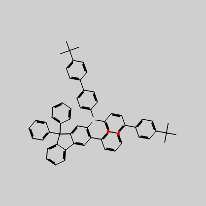 CC(C)(C)c1ccc(-c2ccc(N(c3ccc(-c4ccc(C(C)(C)C)cc4)cc3)c3cc4c(cc3-c3ccccc3)-c3ccccc3C4(c3ccccc3)c3ccccc3)cc2)cc1